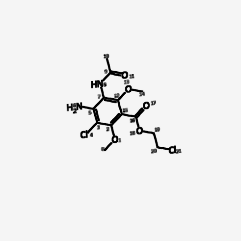 COc1c(Cl)c(N)c(NC(C)=O)c(OC)c1C(=O)OCCCl